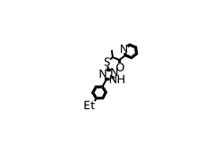 CCc1ccc(-c2nc(SC(C)C(=O)c3ccccn3)n[nH]2)cc1